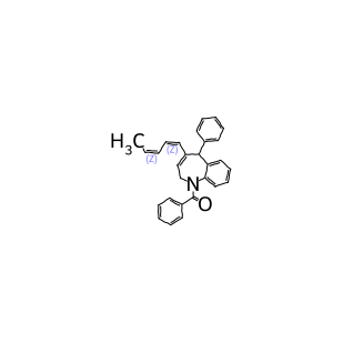 C/C=C\C=C/C1=CCN(C(=O)c2ccccc2)c2ccccc2C1c1ccccc1